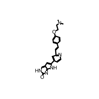 CN(C)CCOc1ccc(C=Cc2cc(-c3cc4c[nH]c(=O)nc4[nH]3)ccn2)cc1